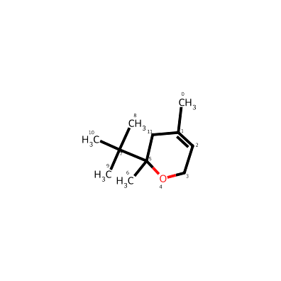 CC1=CCOC(C)(C(C)(C)C)C1